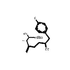 C=C(CCC(CC)Cc1ccc(F)cc1)[C@H](C)C(CCC)CCCC